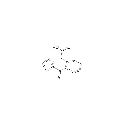 C=C(c1cccs1)c1ccccc1CC(=O)O